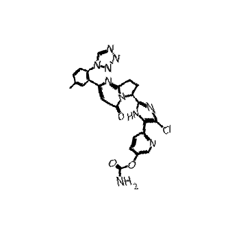 Cc1ccc(-n2cnnn2)c(-c2cc(=O)n3c(n2)CC[C@H]3c2nc(Cl)c(-c3ccc(OC(N)=O)cn3)[nH]2)c1